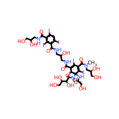 CN(CC(O)CO)C(=O)C1=C(I)C(NC(=O)CO)(N(C)C(=O)C(O)C(O)CO)C(I)C(C(=O)NCC(O)CNC(=O)c2c(I)cc(I)c(C(=O)NCC(O)CO)c2I)=C1I